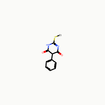 CCSC1=NC(=O)C(c2ccccc2)C(=O)N1